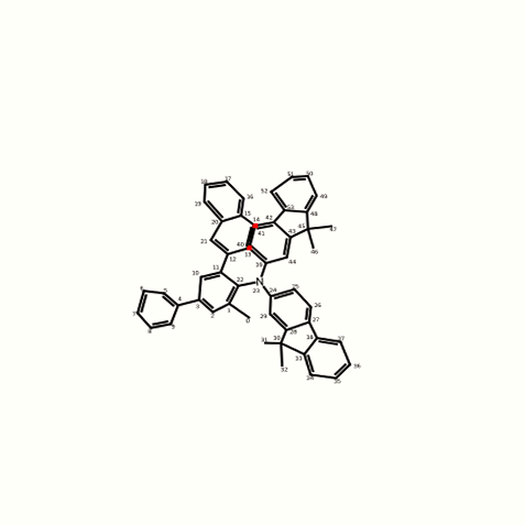 Cc1cc(-c2ccccc2)cc(-c2ccc3ccccc3c2)c1N(c1ccc2c(c1)C(C)(C)c1ccccc1-2)c1ccc2c(c1)C(C)(C)c1ccccc1-2